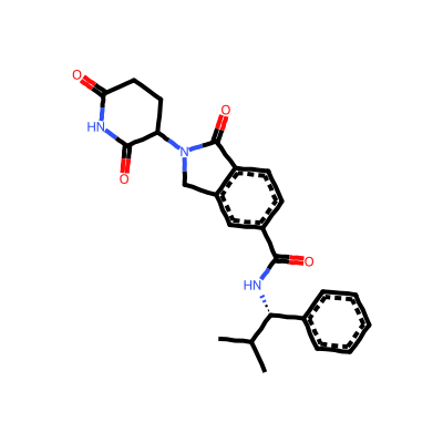 CC(C)[C@H](NC(=O)c1ccc2c(c1)CN(C1CCC(=O)NC1=O)C2=O)c1ccccc1